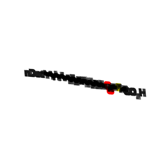 CCCCCCCCCCCCCCCCCCCCCCCCCCCCCCCCOC(=O)CCSCCC(=O)O